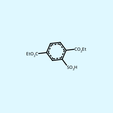 CCOC(=O)c1ccc(C(=O)OCC)c(S(=O)(=O)O)c1